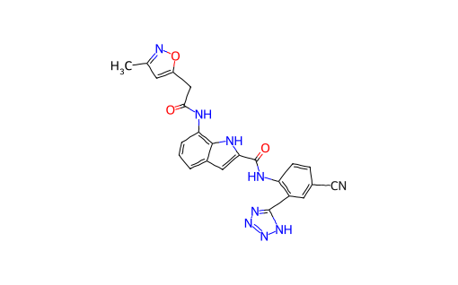 Cc1cc(CC(=O)Nc2cccc3cc(C(=O)Nc4ccc(C#N)cc4-c4nnn[nH]4)[nH]c23)on1